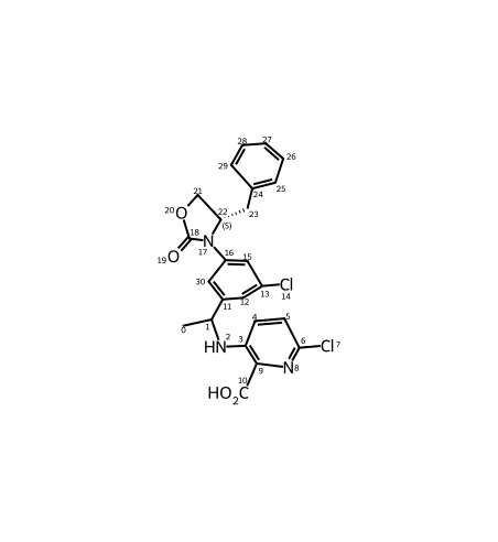 CC(Nc1ccc(Cl)nc1C(=O)O)c1cc(Cl)cc(N2C(=O)OC[C@@H]2Cc2ccccc2)c1